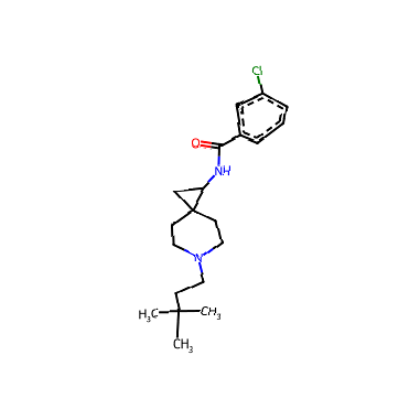 CC(C)(C)CCN1CCC2(CC1)CC2NC(=O)c1cccc(Cl)c1